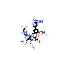 Cc1cc(-c2cnc3nc[nH]c3c2)cc2c1OCCN(c1nc(CNCC(F)F)nc(C)c1C(C)C)C2